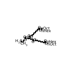 CCCCCCCCC(CCCCCC)OC(=O)CCCCCCCOC(=O)CCC(COC(=O)OCCN(C)C)C(=O)OCCCCCCCC(=O)OC(CCCCCC)CCCCCCCC